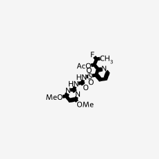 COc1cc(OC)nc(NC(=O)NS(=O)(=O)c2cccnc2C(OC(C)=O)C(C)F)n1